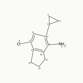 Nc1c(C2CC2)cc(Cl)c2c1CCC2